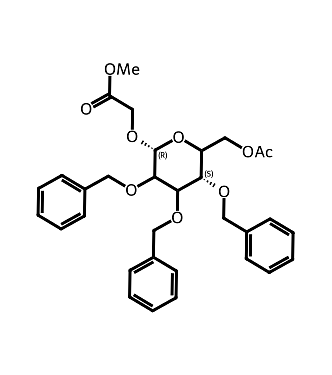 COC(=O)CO[C@@H]1OC(COC(C)=O)[C@H](OCc2ccccc2)C(OCc2ccccc2)C1OCc1ccccc1